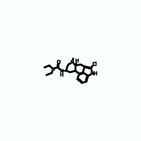 CCN(CC)C(=O)N[C@@H]1CC2c3cccc4[nH]c(Cl)c(c34)C[C@H]2N(C)C1